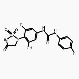 O=C1CN(c2c(O)cc(NC(=O)Nc3ccc(Cl)cc3)cc2F)S(=O)(=O)N1